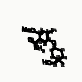 COc1cc(F)c(OC2CCC(C)(CO)CC2)cc1C(N)=O